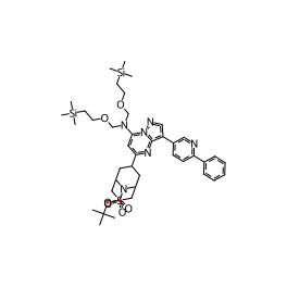 CC(C)(C)OC(=O)N1C2CC(c3cc(N(COCC[Si](C)(C)C)COCC[Si](C)(C)C)n4ncc(-c5ccc(-c6ccccc6)nc5)c4n3)CC1CS(=O)(=O)C2